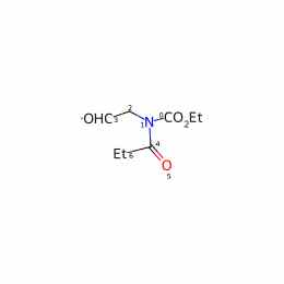 CCOC(=O)N(C[C]=O)C(=O)CC